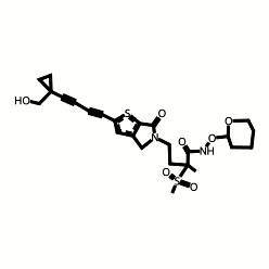 CC(CCN1Cc2cc(C#CC#CC3(CO)CC3)sc2C1=O)(C(=O)NOC1CCCCO1)S(C)(=O)=O